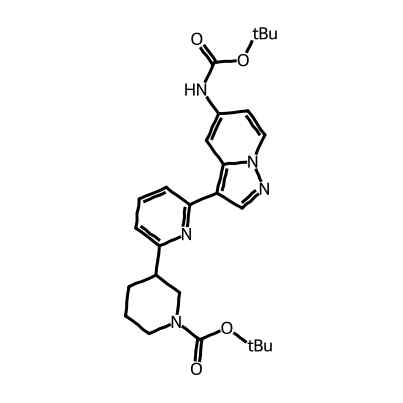 CC(C)(C)OC(=O)Nc1ccn2ncc(-c3cccc(C4CCCN(C(=O)OC(C)(C)C)C4)n3)c2c1